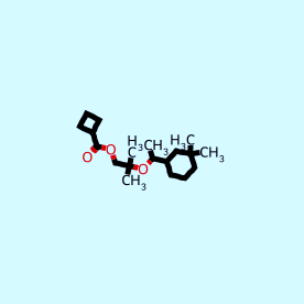 CC(OC(C)(C)COC(=O)C1CCC1)C1CCCC(C)(C)C1